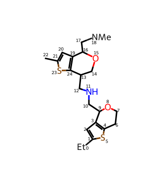 CCc1cc2c(s1)CCOC2CNCC1COC(CNC)c2cc(C)sc21